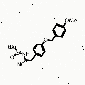 COc1ccc(COc2ccc(C[C@@H](C#N)N[S+]([O-])C(C)(C)C)cc2)cc1